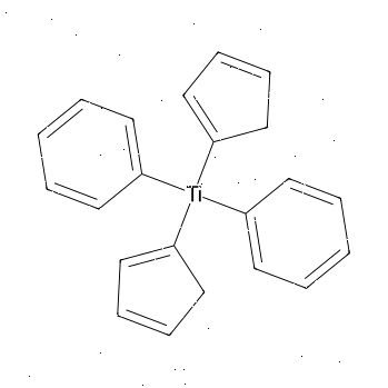 C1=CC[C]([Ti]([C]2=CC=CC2)([c]2ccccc2)[c]2ccccc2)=C1